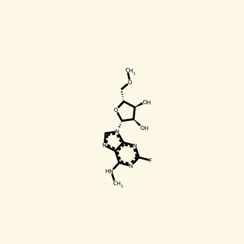 CNc1nc(F)nc2c1ncn2[C@@H]1O[C@H](COC)[C@@H](O)[C@H]1O